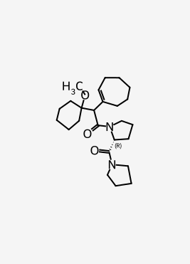 COC1(C(C(=O)N2CCC[C@@H]2C(=O)N2CCCC2)C2=CCCCCC2)CCCCC1